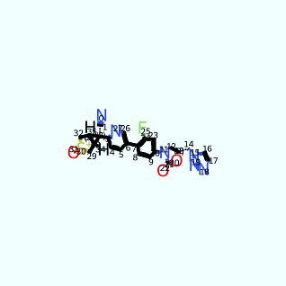 N#C[C@]1(c2ccc(-c3ccc(N4C[C@H](Cn5ccnn5)OC4=O)cc3F)cn2)[C@@H]2C[S+]([O-])C[C@@H]21